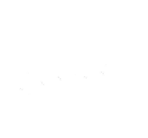 CC1(C)CNC(=O)c2cc3ccc(C(=O)Nc4cc(Cc5ccccc5)on4)nc3n2C1